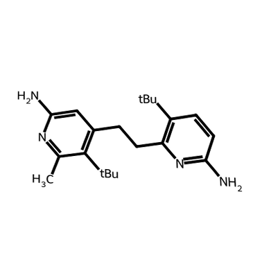 Cc1nc(N)cc(CCc2nc(N)ccc2C(C)(C)C)c1C(C)(C)C